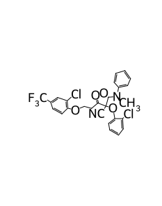 CN(C(=O)C(C#N)(Oc1ccccc1Cl)C(=O)CCOc1ccc(C(F)(F)F)cc1Cl)c1ccccc1